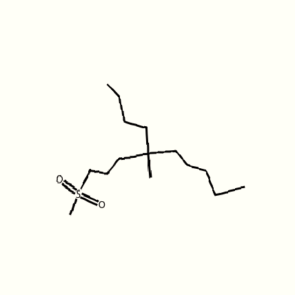 CCCCCC(C)(CCCC)CCCS(C)(=O)=O